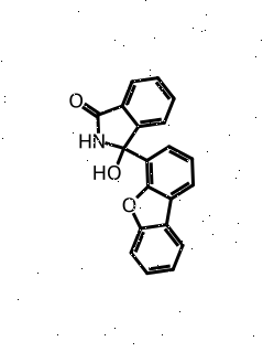 O=C1NC(O)(c2cccc3c2oc2ccccc23)c2ccccc21